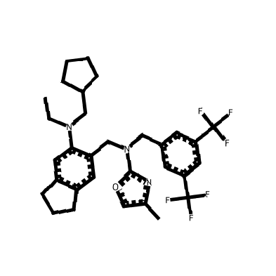 CCN(CC1CCCC1)c1cc2c(cc1CN(Cc1cc(C(F)(F)F)cc(C(F)(F)F)c1)c1nc(C)co1)CCC2